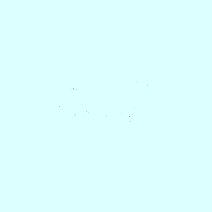 COc1cc(N2CCN(C(=O)Cn3ncc4c(=O)oc5ccc(C)cc5c43)CC2)ccc1Cl